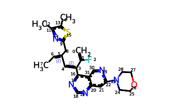 C=C(F)/C(=C\C(=C/C)Cc1nc(C)c(C)s1)c1ncnc2cc(N3CCOCC3)ncc12